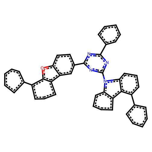 c1ccc(-c2nc(-c3ccc4oc5c(-c6ccccc6)cccc5c4c3)nc(-n3c4ccccc4c4c(-c5ccccc5)cccc43)n2)cc1